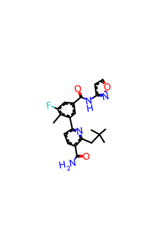 Cc1c(F)cc(C(=O)Nc2ccon2)cc1-c1ccc(C(N)=O)c(CC(C)(C)C)n1